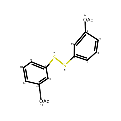 CC(=O)Oc1cccc(SSc2cccc(OC(C)=O)c2)c1